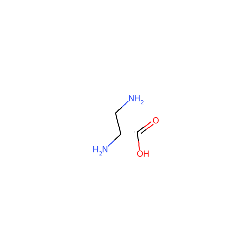 NCCN.O=[C]O